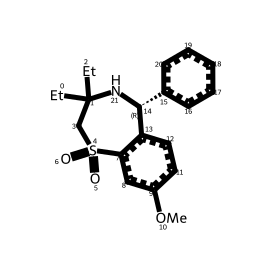 CCC1(CC)CS(=O)(=O)c2cc(OC)ccc2[C@@H](c2ccccc2)N1